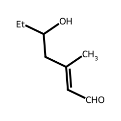 CCC(O)C/C(C)=C/C=O